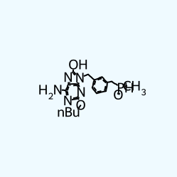 CCCCOc1nc(N)c2nc(O)n(Cc3cccc(C[PH](C)=O)c3)c2n1